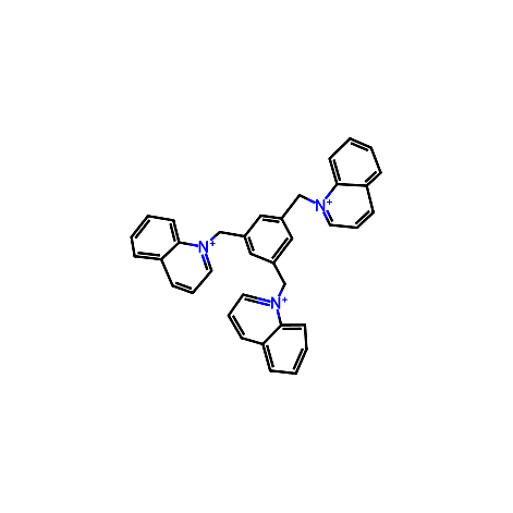 c1ccc2c(c1)ccc[n+]2Cc1cc(C[n+]2cccc3ccccc32)cc(C[n+]2cccc3ccccc32)c1